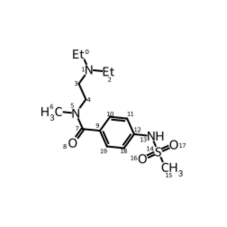 CCN(CC)CCN(C)C(=O)c1ccc(NS(C)(=O)=O)cc1